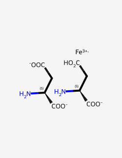 N[C@@H](CC(=O)O)C(=O)[O-].N[C@@H](CC(=O)[O-])C(=O)[O-].[Fe+3]